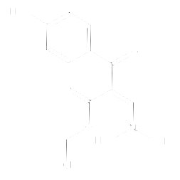 CCOC(=O)/C(=C\N(C)C)C(=O)c1ccc(C)cc1